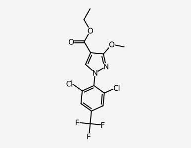 CCOC(=O)c1cn(-c2c(Cl)cc(C(F)(F)F)cc2Cl)nc1OC